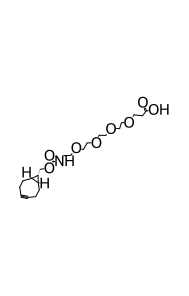 O=C(O)CCOCCOCCOCCOCCNC(=O)OC[C@H]1[C@@H]2CCC#CCC[C@@H]21